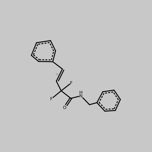 O=C(NCc1ccccc1)C(F)(F)/C=C/c1ccccc1